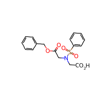 O=C(O)CN(CC(=O)OCc1ccccc1)S(=O)(=O)c1ccccc1